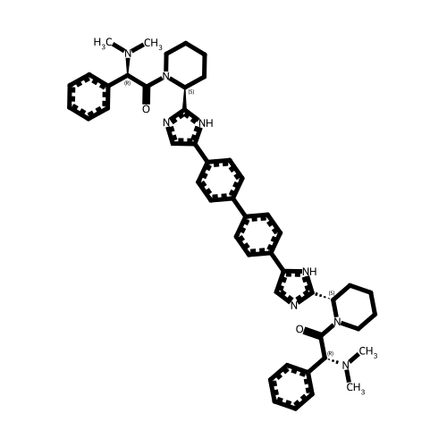 CN(C)[C@@H](C(=O)N1CCCC[C@H]1c1ncc(-c2ccc(-c3ccc(-c4cnc([C@@H]5CCCCN5C(=O)[C@@H](c5ccccc5)N(C)C)[nH]4)cc3)cc2)[nH]1)c1ccccc1